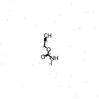 C#CCOC(=O)NI